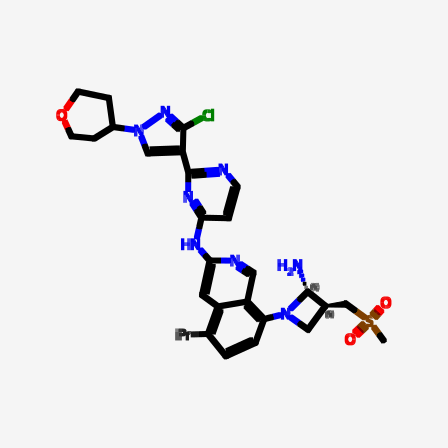 CC(C)c1ccc(N2C[C@H](CS(C)(=O)=O)[C@H]2N)c2cnc(Nc3ccnc(-c4cn(C5CCOCC5)nc4Cl)n3)cc12